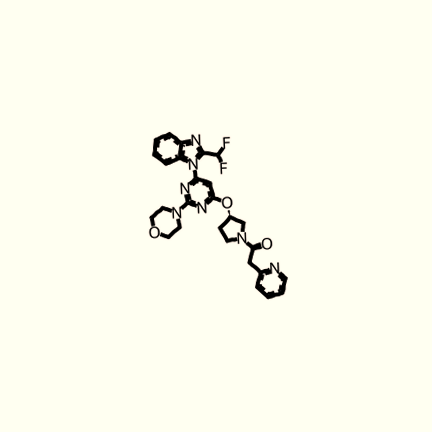 O=C(Cc1ccccn1)N1CC[C@H](Oc2cc(-n3c(C(F)F)nc4ccccc43)nc(N3CCOCC3)n2)C1